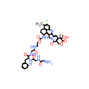 CC[C@@]1(O)C(=O)OCc2c1cc1n(c2=O)Cc2c-1nc1cc(F)c(C)c3c1c2[C@@H](NC(=O)OCCNC(=O)CNC(=O)C(Cc1ccccc1)NC(=O)CNC(=O)CN)CC3